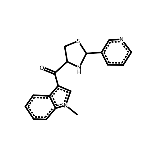 Cn1cc(C(=O)C2CSC(c3cccnc3)N2)c2ccccc21